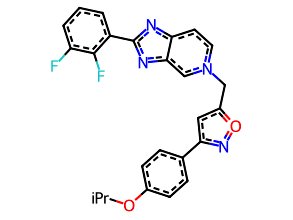 CC(C)Oc1ccc(-c2cc(Cn3ccc4nc(-c5cccc(F)c5F)nc-4c3)on2)cc1